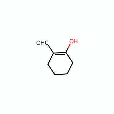 O=CC1=C(O)CCCC1